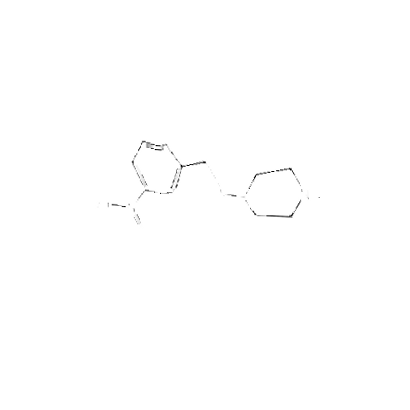 O=[N+]([O-])c1cccc(CNC2CCNCC2)c1